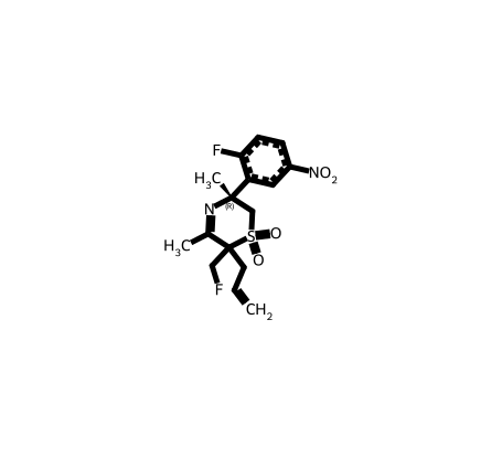 C=CCC1(CF)C(C)=N[C@](C)(c2cc([N+](=O)[O-])ccc2F)CS1(=O)=O